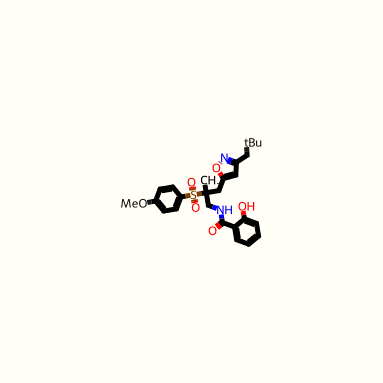 COc1ccc(S(=O)(=O)C(C)(CNC(=O)c2ccccc2O)Cc2cc(CC(C)(C)C)no2)cc1